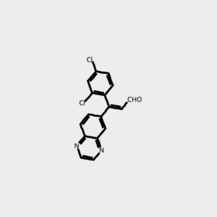 O=CC=C(c1ccc2nccnc2c1)c1ccc(Cl)cc1Cl